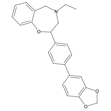 CCN1Cc2ccccc2OC(c2ccc(-c3ccc4c(c3)OCO4)cc2)C1